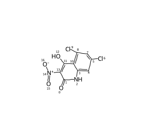 O=c1[nH]c2cc(Cl)cc(Cl)c2c(O)c1[N+](=O)[O-]